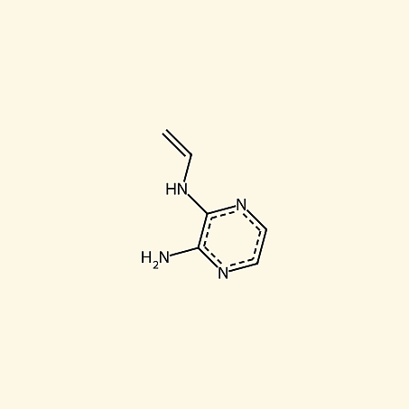 C=CNc1nccnc1N